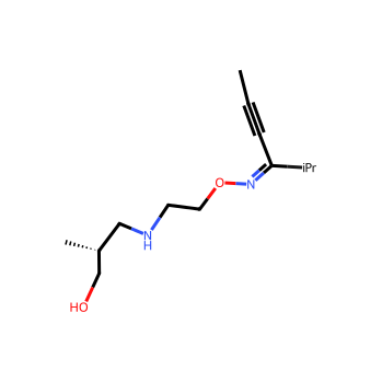 CC#C/C(=N\OCCNC[C@@H](C)CO)C(C)C